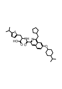 CC(C)c1ccc(CC(NC(=O)c2cc3ccc(OC4CCC(C(C)C)CC4)cc3c(CC3CCCC3)n2)C(=O)O)s1